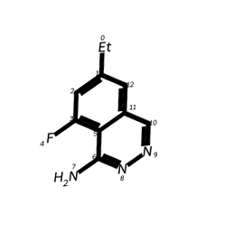 CCc1cc(F)c2c(N)nncc2c1